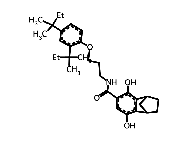 CCC(C)(C)c1ccc(OCCCNC(=O)c2cc(O)c3c(c2O)C2CCC3C2)c(C(C)(C)CC)c1